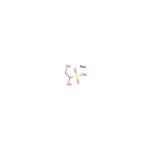 O=S(=O)(O)C(O)CO.[NaH]